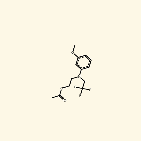 COc1cccc(N(CCOC(C)=O)CC(F)(F)F)c1